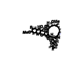 COC[C@@H]1C[C@@H](C)CC/C=C\[C@@H]2C[C@@]2(C(=O)NS(=O)(=O)C2(C)CC2)NC(=O)[C@@H]2C[C@@H](Oc3nc4cc(OC)c(F)cc4nc3C(F)(F)F)CN2C(=O)[C@H]1NC(=O)O